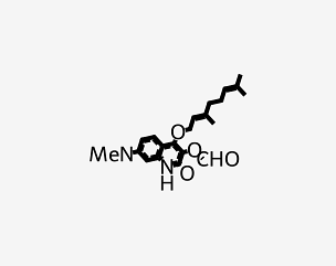 CNc1ccc2c(OC/C=C(\C)CCC=C(C)C)c(OC=O)c(=O)[nH]c2c1